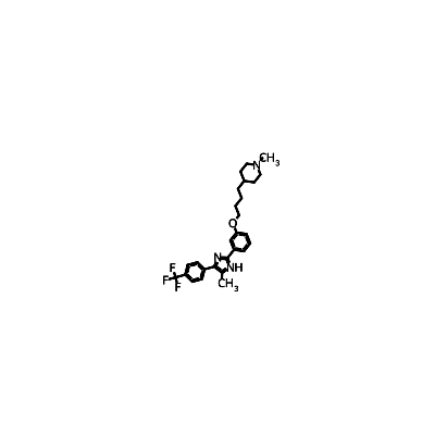 Cc1[nH]c(-c2cccc(OCCCCC3CCN(C)CC3)c2)nc1-c1ccc(C(F)(F)F)cc1